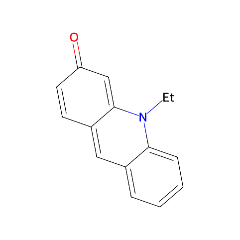 CCn1c2cc(=O)ccc-2cc2ccccc21